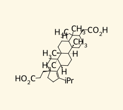 CC(C)C1=C2[C@H]3CC[C@@H]4[C@@]5(C)CC[C@H](CC(=O)O)C(C)(C)[C@@H]5CC[C@@]4(C)[C@]3(C)CC[C@@]2(CCC(=O)O)CC1